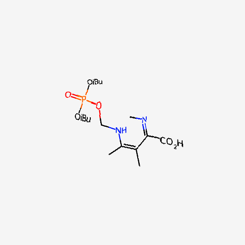 C/N=C(C(=O)O)\C(C)=C(\C)NCOP(=O)(OCC(C)C)OCC(C)C